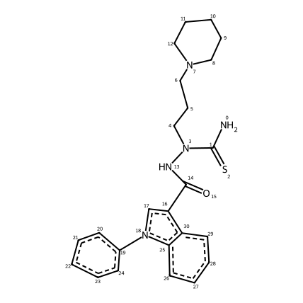 NC(=S)N(CCCN1CCCCC1)NC(=O)c1cn(-c2ccccc2)c2ccccc12